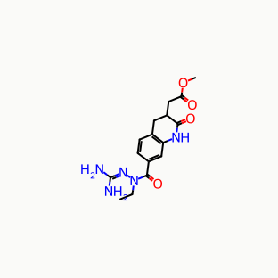 CCN(N=C(N)N)C(=O)c1ccc2c(c1)NC(=O)C(CC(=O)OC)C2